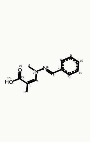 CC(=CN(C)N=Cc1ccccc1)C(=O)O